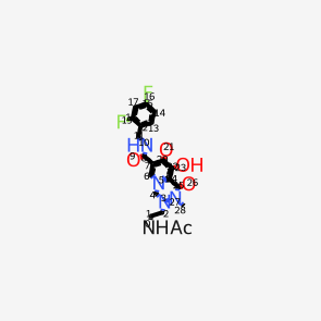 CC(=O)NCCN1Cn2cc(C(=O)NCc3ccc(F)cc3F)c(=O)c(O)c2C(=O)N1C